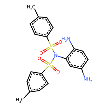 Cc1ccc(S(=O)(=O)N(c2cc(N)ccc2N)S(=O)(=O)c2ccc(C)cc2)cc1